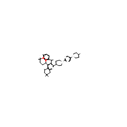 CCOC(=O)C1CCN(c2cnc(N3CCC(c4nc5c(c(C6CCC(F)(F)CC6)c4C(F)c4ccc(C(F)(F)F)cc4)C(O)CC(C)(C)C5)CC3)nc2)CC1